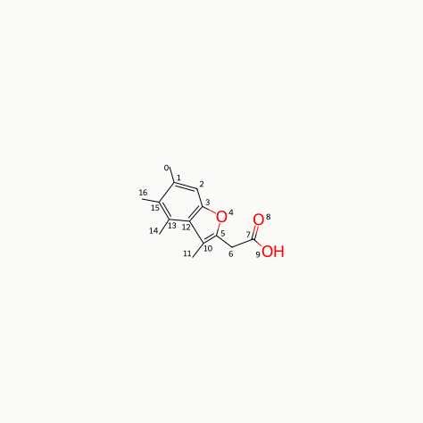 Cc1cc2oc(CC(=O)O)c(C)c2c(C)c1C